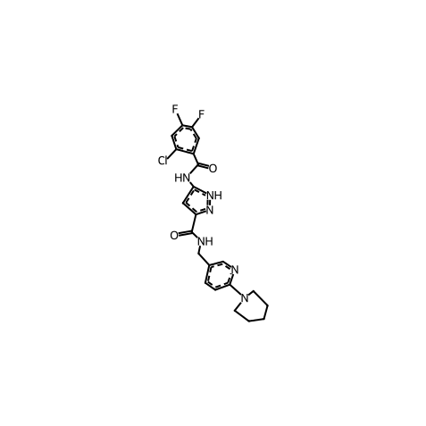 O=C(NCc1ccc(N2CCCCC2)nc1)c1cc(NC(=O)c2cc(F)c(F)cc2Cl)[nH]n1